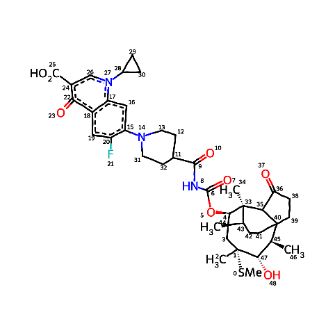 CS[C@]1(C)C[C@@H](OC(=O)NC(=O)C2CCN(c3cc4c(cc3F)c(=O)c(C(=O)O)cn4C3CC3)CC2)[C@@]2(C)C3C(=O)CCC3(CC[C@H]2C)[C@@H](C)[C@@H]1O